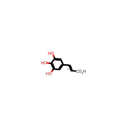 O=C(O)/C=C/c1cc(O)c(O)c(O)c1